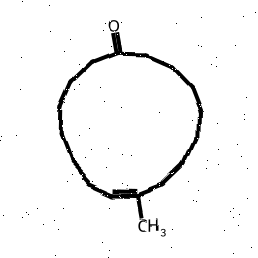 CC1=CCCCCCCC(=O)CCCCCCC1